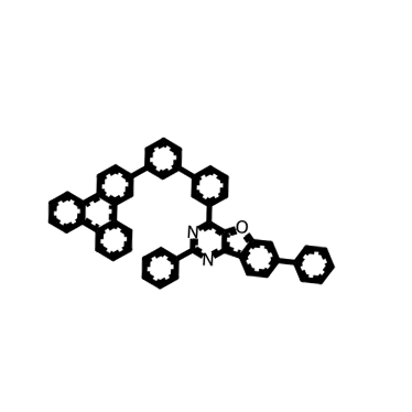 c1ccc(-c2ccc3c(c2)oc2c(-c4cccc(-c5cccc(-c6ccc7c8ccccc8c8ccccc8c7c6)c5)c4)nc(-c4ccccc4)nc23)cc1